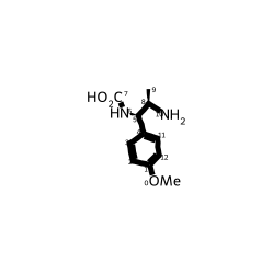 COc1ccc([C@H](NC(=O)O)[C@@H](C)N)cc1